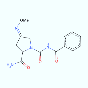 CON=C1CC(C(N)=O)N(C(=O)NC(=O)c2ccccc2)C1